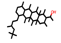 CC(CCC1CCC(C)C2C(C)C3C(C)C4(C)C(C)C(C(C)O)C(C)CC4(C)C(C)C3(C)C(C)C12)CC(C)(C)C